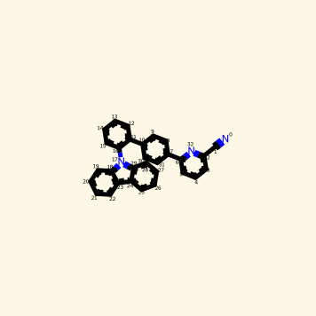 N#Cc1cccc(-c2ccc(-c3ccccc3-n3c4ccccc4c4ccccc43)cc2)n1